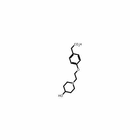 O=C(O)Cc1ccc(OCCN2CCC(O)CC2)cc1